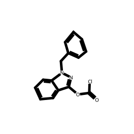 O=C(Cl)Oc1nn(Cc2ccccc2)c2ccccc12